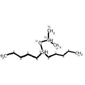 CCCCC[SiH](CCCCC)O[SiH](C)C